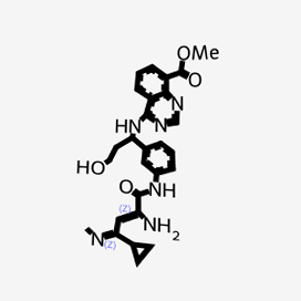 C/N=C(\C=C(/N)C(=O)Nc1cccc(C(CCO)Nc2ncnc3c(C(=O)OC)cccc23)c1)C1CC1